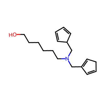 OCCCCCCN(CC1=CCC=C1)CC1C=CC=C1